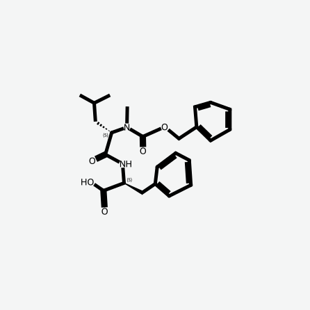 CC(C)C[C@@H](C(=O)N[C@@H](Cc1ccccc1)C(=O)O)N(C)C(=O)OCc1ccccc1